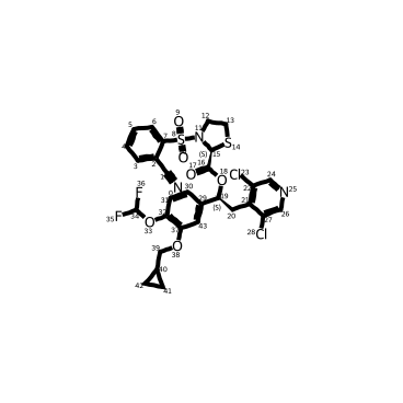 N#Cc1ccccc1S(=O)(=O)N1CCS[C@H]1C(=O)O[C@@H](Cc1c(Cl)cncc1Cl)c1ccc(OC(F)F)c(OCC2CC2)c1